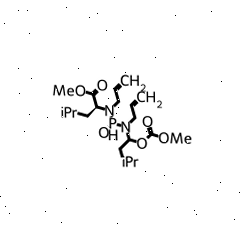 C=CCN(C(CC(C)C)OC(=O)OC)[PH](=O)N(CC=C)[C@@H](CC(C)C)C(=O)OC